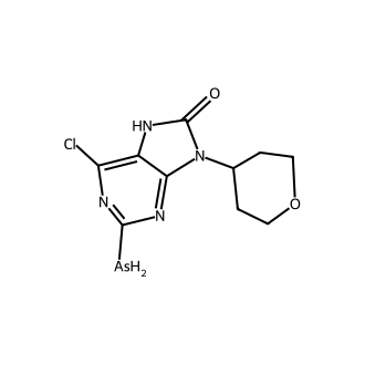 O=c1[nH]c2c(Cl)nc([AsH2])nc2n1C1CCOCC1